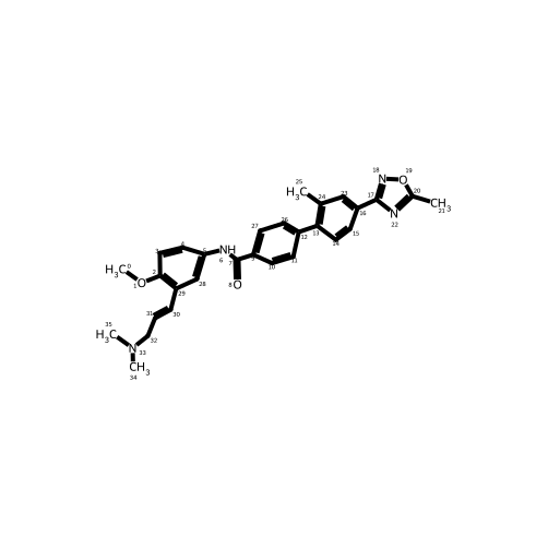 COc1ccc(NC(=O)c2ccc(-c3ccc(-c4noc(C)n4)cc3C)cc2)cc1/C=C/CN(C)C